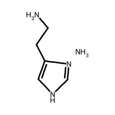 N.NCCc1c[nH]cn1